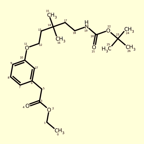 CCOC(=O)Cc1cccc(OCCC(C)(C)CCNC(=O)OC(C)(C)C)c1